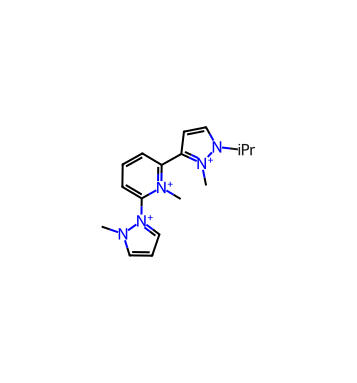 CC(C)n1ccc(-c2cccc(-[n+]3cccn3C)[n+]2C)[n+]1C